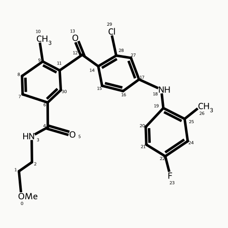 COCCNC(=O)c1ccc(C)c(C(=O)c2ccc(Nc3ccc(F)cc3C)cc2Cl)c1